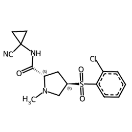 CN1C[C@H](S(=O)(=O)c2ccccc2Cl)C[C@H]1C(=O)NC1(C#N)CC1